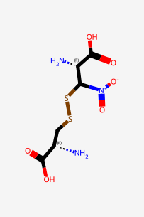 N[C@H](C(=O)O)C(SSC[C@H](N)C(=O)O)[N+](=O)[O-]